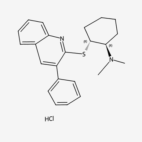 CN(C)[C@@H]1CCCC[C@H]1Sc1nc2ccccc2cc1-c1ccccc1.Cl